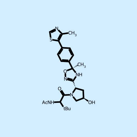 CC(=O)NC(C(=O)N1C[C@H](O)C[C@H]1C1=NO[C@@](C)(c2ccc(-c3scnc3C)cc2)N1)C(C)(C)C